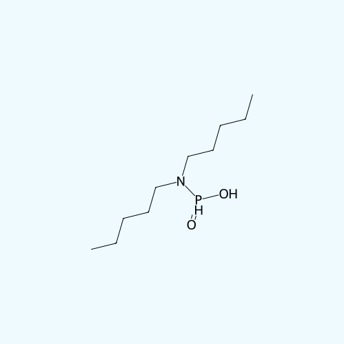 CCCCCN(CCCCC)[PH](=O)O